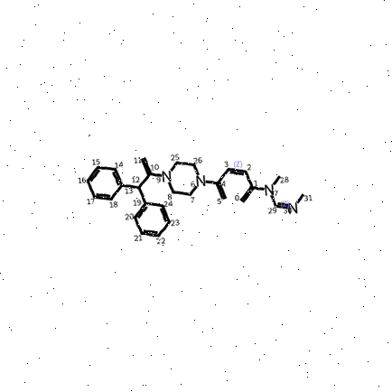 C=C(/C=C\C(=C)N1CCN(C(=C)C(c2ccccc2)c2ccccc2)CC1)N(C)/C=N\C